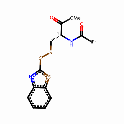 COC(=O)[C@@H](CSSc1nc2ccccc2s1)NC(=O)C(C)C